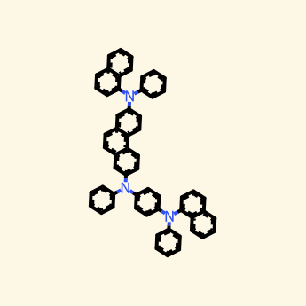 c1ccc(N(c2ccc(N(c3ccccc3)c3cccc4ccccc34)cc2)c2ccc3c(ccc4cc(N(c5ccccc5)c5cccc6ccccc56)ccc43)c2)cc1